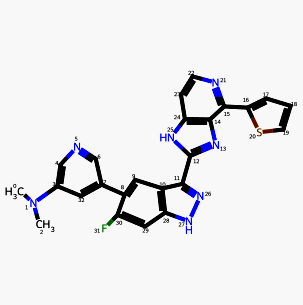 CN(C)c1cncc(-c2cc3c(-c4nc5c(-c6cccs6)nccc5[nH]4)n[nH]c3cc2F)c1